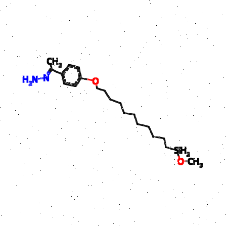 CO[SiH2]CCCCCCCCCCCOc1ccc(C(C)=NN)cc1